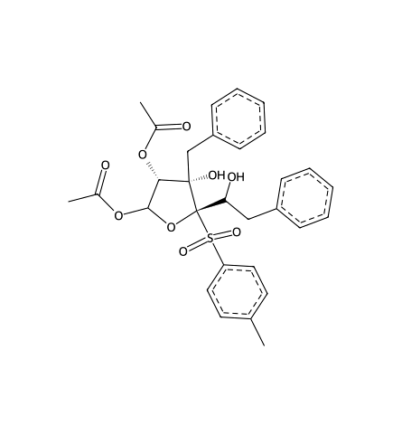 CC(=O)OC1O[C@@](C(O)Cc2ccccc2)(S(=O)(=O)c2ccc(C)cc2)[C@](O)(Cc2ccccc2)[C@H]1OC(C)=O